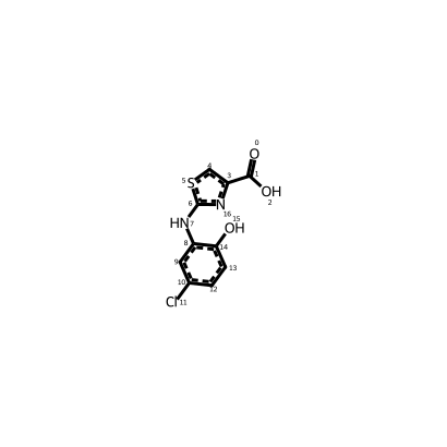 O=C(O)c1csc(Nc2cc(Cl)ccc2O)n1